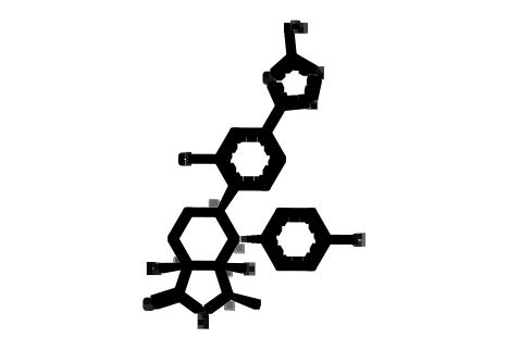 CCCCc1nnc(-c2ccc([C@@H]3CC[C@@]4(CC)C(=O)N[C@H](C)[C@H]4[C@H]3c3ccc(Cl)cc3)c(Cl)c2)o1